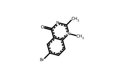 Cc1nc(=O)c2cc(Br)ccc2n1C